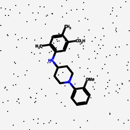 COc1ccccc1N1CCC(Nc2cc(C(=O)O)c(C)cc2C)CC1